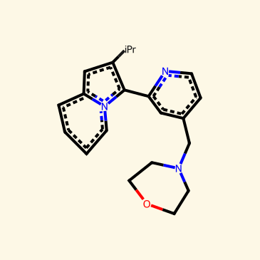 CC(C)c1cc2ccccn2c1-c1cc(CN2CCOCC2)ccn1